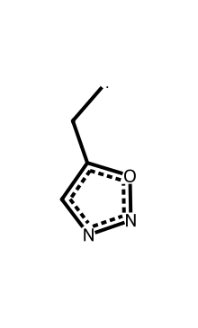 [CH2]Cc1cnno1